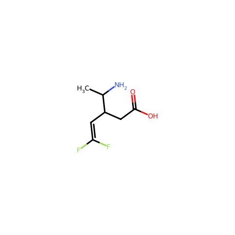 CC(N)C(C=C(F)F)CC(=O)O